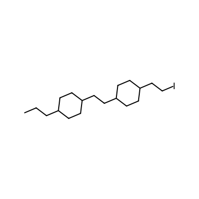 CCCC1CCC(CCC2CCC(CCI)CC2)CC1